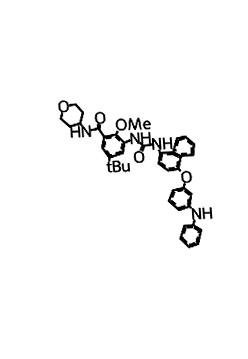 COc1c(NC(=O)Nc2ccc(Oc3cccc(Nc4ccccc4)c3)c3ccccc23)cc(C(C)(C)C)cc1C(=O)NC1CCOCC1